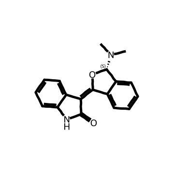 CN(C)[C@H]1OC(=C2C(=O)Nc3ccccc32)c2ccccc21